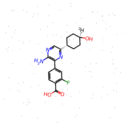 [2H][C@]1(O)CC[C@H](c2cnc(N)c(-c3ccc(C(=O)O)c(F)c3)n2)CC1